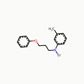 CCN(CCCOc1ccccc1)c1cc[c]c(C)c1